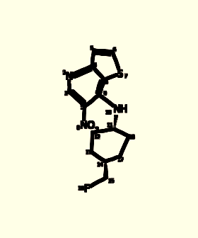 O=[N+]([O-])c1cnc2ccsc2c1N[C@H]1CC[C@H](CF)CC1